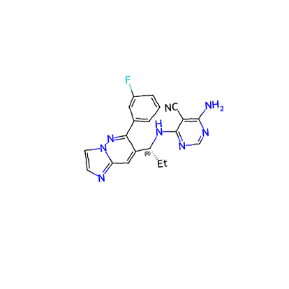 CC[C@@H](Nc1ncnc(N)c1C#N)c1cc2nccn2nc1-c1cccc(F)c1